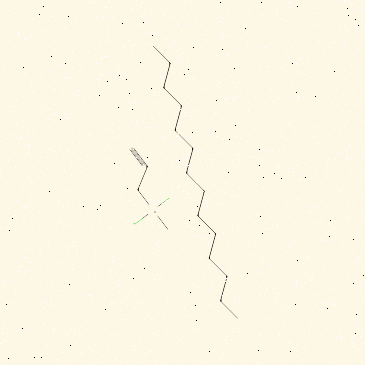 C=CC[Si](C)(Cl)Cl.CCCCCCCCCCCCCC